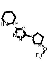 FC(F)(F)O[C@@H]1CCN(c2nnc([C@H]3CCCCN3)o2)C1